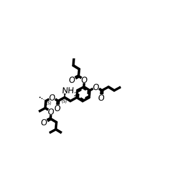 CCCC(=O)Oc1ccc(C[C@H](N)C(=O)O[C@@H](C)C(C)OC(=O)CC(C)C)cc1OC(=O)CCC